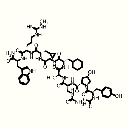 CNC(=N)NCCC[C@H](NC(=O)[C@H](CC1CC1)NC(=O)CNC(=O)[C@H](CC1CCCCC1)NC(=O)[C@H](C)NC(=O)[C@H](CNC(N)=O)NC(=O)[C@@H]1C[C@@H](O)CN1C(=O)[C@@H](Cc1ccc(O)cc1)NC(C)=O)C(=O)N[C@@H](Cc1c[nH]c2ccccc12)C(N)=O